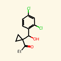 CCC(=O)C1(C(O)c2ccc(Cl)cc2Cl)CC1